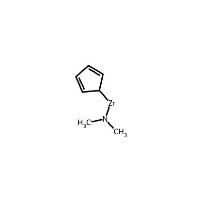 C[N](C)[Zr][CH]1C=CC=C1